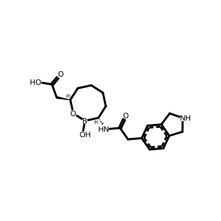 O=C(O)C[C@H]1CCCC[C@H](NC(=O)Cc2ccc3c(c2)CNC3)B(O)O1